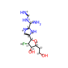 N=CNC(N)c1ncc(C2OC(CCO)[C@@H](O)[C@H]2F)[nH]1